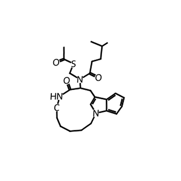 CC(=O)SCN(C(=O)CCC(C)C)C1Cc2cn(c3ccccc23)CCCCCCNC1=O